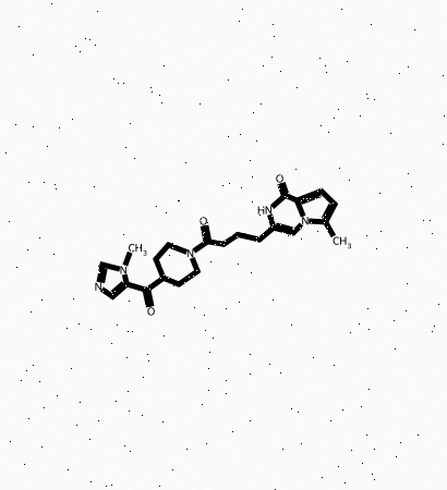 Cc1ccc2c(=O)[nH]c(CCCC(=O)N3CCC(C(=O)c4cncn4C)CC3)cn12